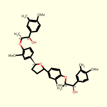 COc1ccc([C@@H](O)[C@@H](C)Oc2ccc(C3CC[C@@H](c4ccc(O[C@H](C)[C@H](O)c5ccc(OC)c(C)c5)c(OC)c4)O3)cc2OC)cc1C